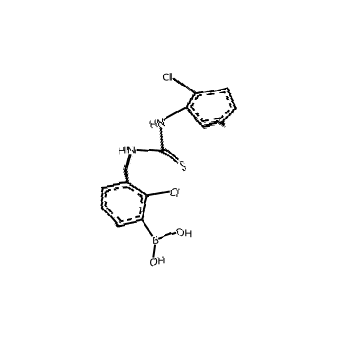 OB(O)c1cccc(NC(=S)Nc2ccccc2Cl)c1Cl